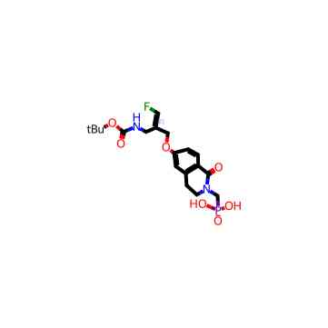 CC(C)(C)OC(=O)NC/C(=C\F)COc1ccc2c(c1)CCN(CP(=O)(O)O)C2=O